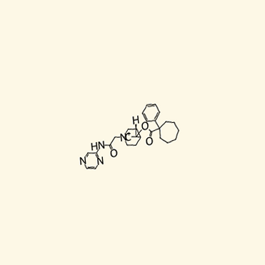 O=C(C[N+]12CCC(CC1)[C@@H](OC(=O)C1(c3ccccc3)CCCCCC1)C2)Nc1cnccn1